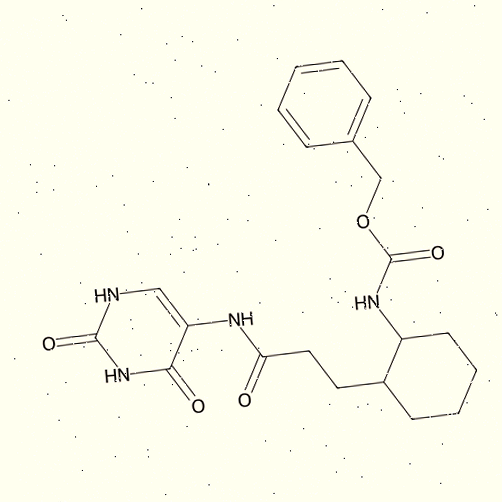 O=C(CCC1CCCCC1NC(=O)OCc1ccccc1)Nc1c[nH]c(=O)[nH]c1=O